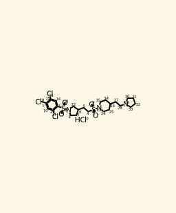 Cl.O=S(=O)(CCC1CCN(S(=O)(=O)c2cc(Cl)c(Cl)cc2Cl)C1)N1CCC(CCN2CCCC2)CC1